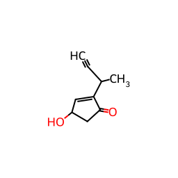 C#CC(C)C1=CC(O)CC1=O